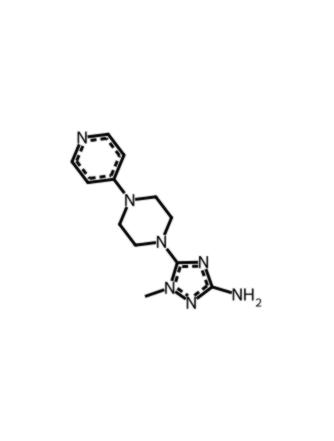 Cn1nc(N)nc1N1CCN(c2ccncc2)CC1